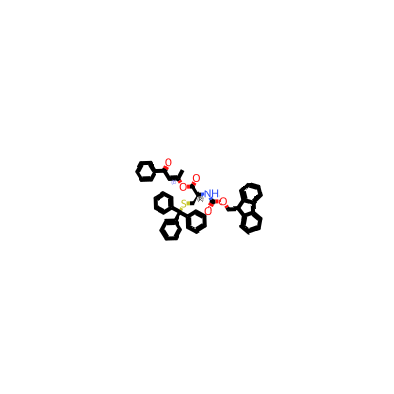 C/C(=C\C(=O)c1ccccc1)OC(=O)[C@H](CSC(c1ccccc1)(c1ccccc1)c1ccccc1)NC(=O)OCC1c2ccccc2-c2ccccc21